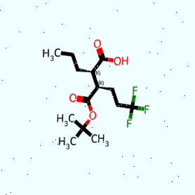 CCC[C@@H](C(=O)O)[C@@H](CCC(F)(F)F)C(=O)OC(C)(C)C